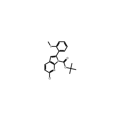 CSc1ccccc1-c1cc2ccc(Cl)nc2n1C(=O)OC(C)(C)C